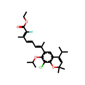 CCOC(=O)C(F)=C(C)C=CC=C(C)c1cc2c(c(Cl)c1OC(C)C)OC(C)(C)C=C2C(C)C